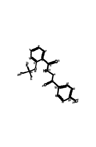 O=C(CNC(=O)c1ccccc1OC(F)(F)F)c1ccc(Cl)cc1